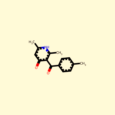 Cc1ccc(C(=O)c2c(C)[nH]c(C)cc2=O)cc1